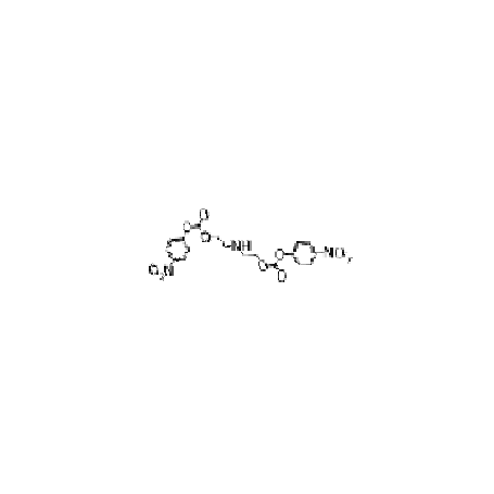 O=C(OCCNCCOC(=O)Oc1ccc([N+](=O)[O-])cc1)Oc1ccc([N+](=O)[O-])cc1